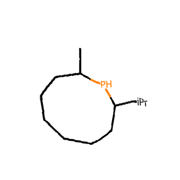 CC1CCCCCCC(C(C)C)P1